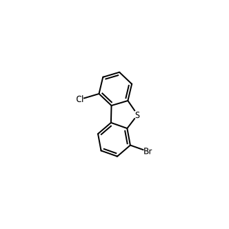 Clc1cccc2sc3c(Br)cccc3c12